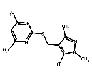 Cc1cc(C)nc(SCc2c(C)nn(C)c2Cl)n1